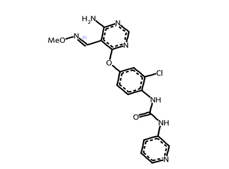 CO/N=C/c1c(N)ncnc1Oc1ccc(NC(=O)Nc2cccnc2)c(Cl)c1